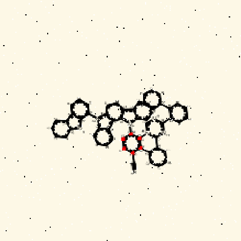 N#Cc1ccc(-n2c3ccccc3c3ccc4c(c5ccccc5n4-c4cccc5c4oc4ccccc45)c32)c(-[n+]2cnc(-c3ccccc3-c3ccccc3)nc2-c2ccccc2-c2ccccc2)c1